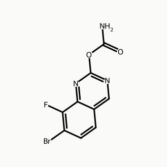 NC(=O)Oc1ncc2ccc(Br)c(F)c2n1